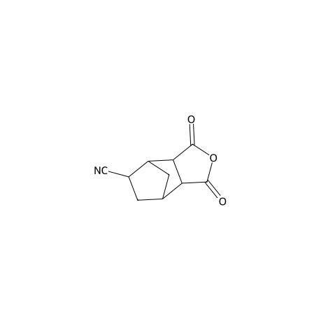 N#CC1CC2CC1C1C(=O)OC(=O)C21